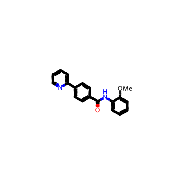 COc1ccccc1NC(=O)c1ccc(-c2ccccn2)cc1